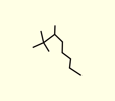 [CH2]CCCCC(C)C(C)(C)C